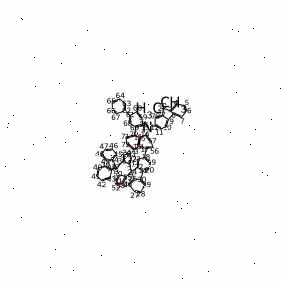 CC1(C)c2ccccc2-c2ccc(N(c3ccc(-c4ccc5c(c4)C4(c6ccccc6-5)c5ccccc5C(c5ccccc5)(c5ccccc5)c5ccccc54)cc3)c3ccc(-c4ccccc4)cc3-c3ccccc3)cc21